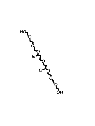 OCCOCCOCCOC(Br)CCOCCC(Br)OCCOCCOCCO